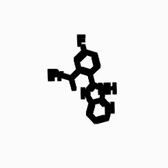 CC(C)C(C)c1cc(F)ccc1-c1nc2cccnc2[nH]1